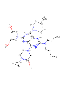 COCCN(CCOC)c1nc(N2CCN(C3CC3)C(=O)C2)c2nc(N(CCO)CCO)nc(N3CCC(OC)CC3)c2n1